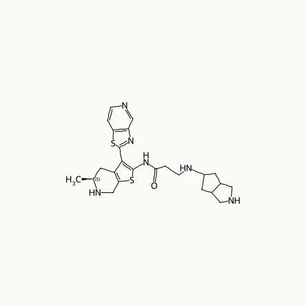 C[C@H]1Cc2c(sc(NC(=O)CCNC3CC4CNCC4C3)c2-c2nc3cnccc3s2)CN1